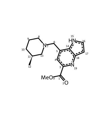 COC(=O)c1cc(CN2CCC[C@H](C)C2)c2[nH]ccc2n1